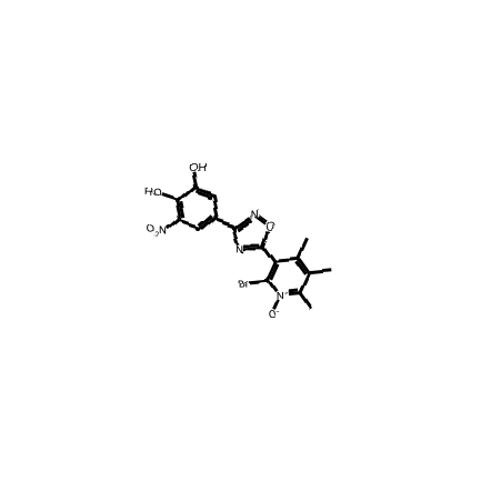 Cc1c(C)c(C)[n+]([O-])c(Br)c1-c1nc(-c2cc(O)c(O)c([N+](=O)[O-])c2)no1